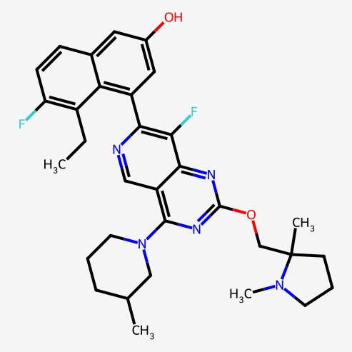 CCc1c(F)ccc2cc(O)cc(-c3ncc4c(N5CCCC(C)C5)nc(OCC5(C)CCCN5C)nc4c3F)c12